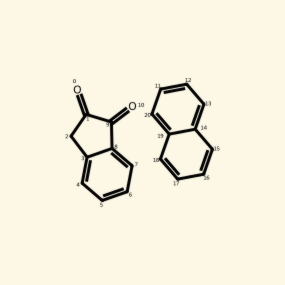 O=C1Cc2ccccc2C1=O.c1ccc2ccccc2c1